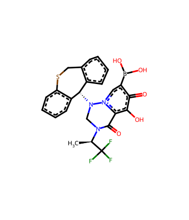 C[C@@H](N1CN([C@H]2c3ccccc3CSc3ccccc32)n2cc(B(O)O)c(=O)c(O)c2C1=O)C(F)(F)F